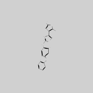 Cc1sc(C(=O)O)cc1-c1csc(Nc2ccc(Oc3ccccc3)cc2)n1